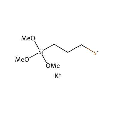 CO[Si](CCC[S-])(OC)OC.[K+]